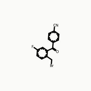 N#Cc1ccc(C(=O)c2cc(F)ccc2CBr)cc1